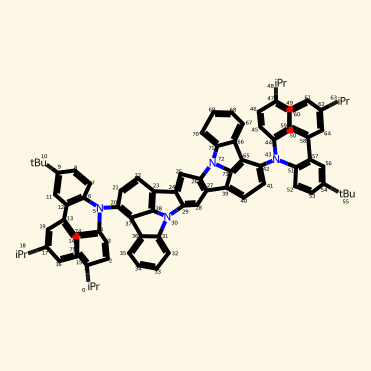 CC(C)c1ccc(N(c2ccc(C(C)(C)C)cc2-c2cccc(C(C)C)c2)c2ccc3c4cc5c(cc4n4c6ccccc6c2c34)c2ccc(N(c3ccc(C(C)C)cc3)c3ccc(C(C)(C)C)cc3-c3cccc(C(C)C)c3)c3c4ccccc4n5c23)cc1